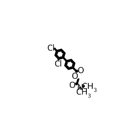 CN(C)C(=O)COC(=O)c1ccc(-c2ccc(Cl)cc2Cl)cc1